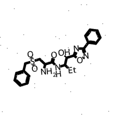 CCC(NC(=O)C(N)CS(=O)(=O)Cc1ccccc1)[C@@H](O)c1nc(-c2ccccc2)no1